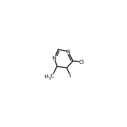 CC1N=CN=C(Cl)C1I